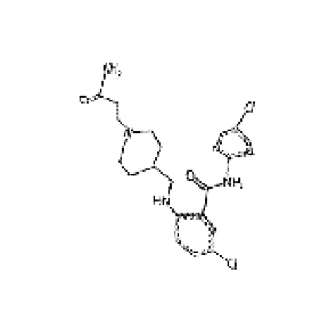 NC(=O)CCN1CCC(CNc2ccc(Cl)cc2C(=O)Nc2ccc(Cl)cn2)CC1